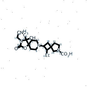 CCC1C(N2CCC3(CC2)OC(=O)N(CC#N)C3(C)C)CC12CCN(C(=O)O)C2